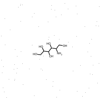 NC(CO)C(O)C(O)C(O)CO